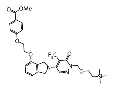 COC(=O)c1ccc(OCCOc2cccc3c2CN(c2cnn(COCC[Si](C)(C)C)c(=O)c2C(F)(F)F)C3)cc1